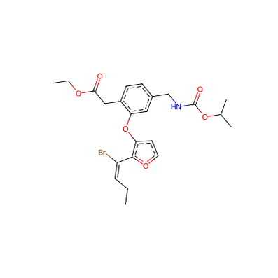 CC/C=C(/Br)c1occc1Oc1cc(CNC(=O)OC(C)C)ccc1CC(=O)OCC